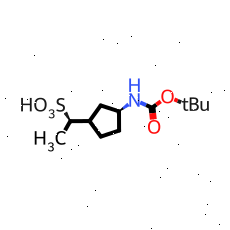 C[C@H](C1CC[C@H](NC(=O)OC(C)(C)C)C1)S(=O)(=O)O